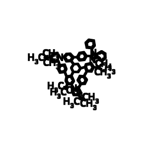 CC(C)(C)c1ccnc(-c2ccc(-c3cc(C(C)(C)C)ccc3C3CC(c4ccccc4-c4ccc(-c5nc6ccccc6n5-c5ccccc5)cc4)CC(c4ccc(C(C)(C)C)cc4-c4ccc(-c5cc(C(C)(C)C)ccn5)cc4)C3)cc2)c1